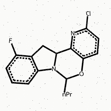 CCCC1Oc2ccc(Cl)nc2C2Cc3c(F)cccc3N12